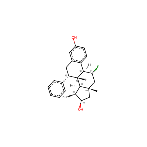 CCC[C@H]1[C@H]2[C@H]3[C@@H](c4ccc(O)cc4C[C@H]3c3ccccc3)[C@@H](F)C[C@]2(C)C[C@H]1O